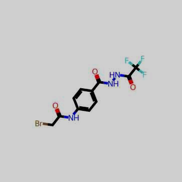 O=C(CBr)Nc1ccc(C(=O)NNC(=O)C(F)(F)F)cc1